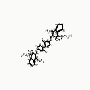 Cc1cc(/N=N/c2c(O)c(S(=O)(=O)O)c3ccccc3c2N)ccc1-c1ccc(/N=N/c2c(O)c(S(=O)(=O)O)c3ccccc3c2N)cc1C